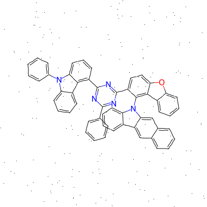 c1ccc(-c2nc(-c3ccc4oc5ccccc5c4c3-n3c4ccccc4c4cc5ccccc5cc43)nc(-c3cccc4c3c3ccccc3n4-c3ccccc3)n2)cc1